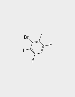 Cc1c(F)cc(F)c(I)c1Br